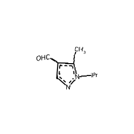 Cc1c(C=O)cnn1C(C)C